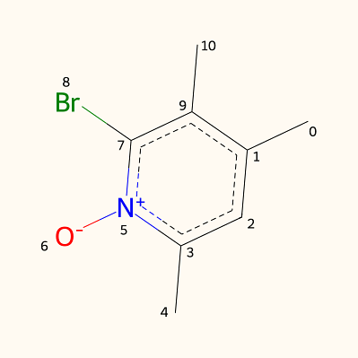 Cc1cc(C)[n+]([O-])c(Br)c1C